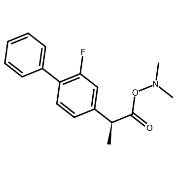 C[C@H](C(=O)ON(C)C)c1ccc(-c2ccccc2)c(F)c1